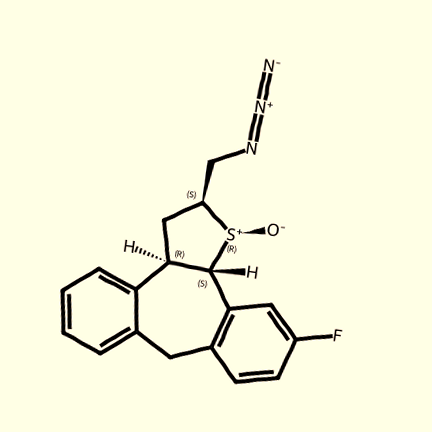 [N-]=[N+]=NC[C@@H]1C[C@@H]2c3ccccc3Cc3ccc(F)cc3[C@H]2[S@+]1[O-]